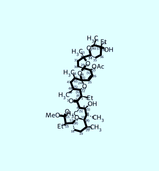 CC[C@@H](C(=O)[C@@H](C)[C@@H](O)[C@H](C)[C@@H]1O[C@@H]([C@@H](CC)C(=O)OC)CC[C@@H]1C)[C@H]1O[C@@]2(C=C[C@H](OC(C)=O)[C@]3(CC[C@@](C)([C@H]4CC[C@](O)(CC)[C@H](C)O4)O3)O2)[C@H](C)C[C@@H]1C